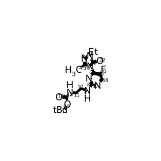 CCn1nc(C)n(-c2nc(NCCNC(=O)OC(C)(C)C)ncc2F)c1=O